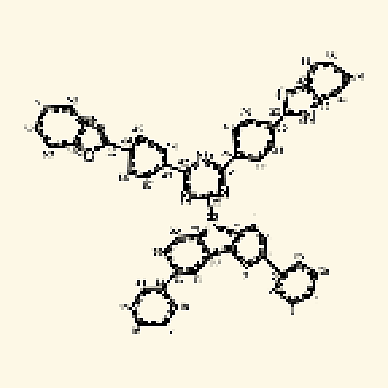 c1ccc(-c2ccc3c(c2)c2cc(-c4ccccc4)ccc2n3-c2nc(-c3ccc(-c4nc5ccccc5o4)cc3)nc(-c3ccc(-c4nc5ccccc5o4)cc3)n2)cc1